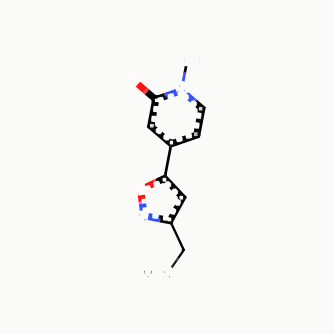 CNCc1cc(-c2ccn(C)c(=O)c2)on1